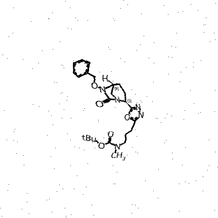 CN(CCCc1nnc([C@@H]2CC[C@@H]3CN2C(=O)N3OCc2ccccc2)o1)C(=O)OC(C)(C)C